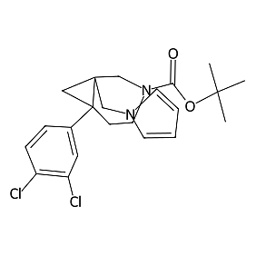 CC(C)(C)OC(=O)N1CCC2(c3ccc(Cl)c(Cl)c3)CC2(Cn2cccc2)C1